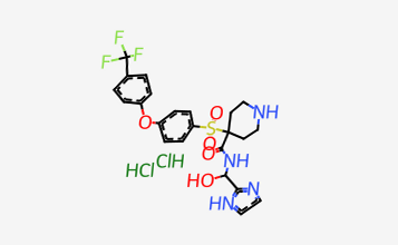 Cl.Cl.O=C(NC(O)c1ncc[nH]1)C1(S(=O)(=O)c2ccc(Oc3ccc(C(F)(F)F)cc3)cc2)CCNCC1